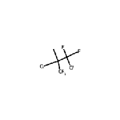 CC(Cl)(C(F)(F)F)C(F)(F)Cl